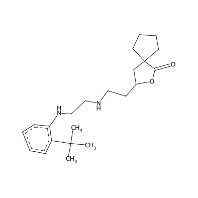 CC(C)(C)c1ccccc1NCCNCCC1CC2(CCCC2)C(=O)O1